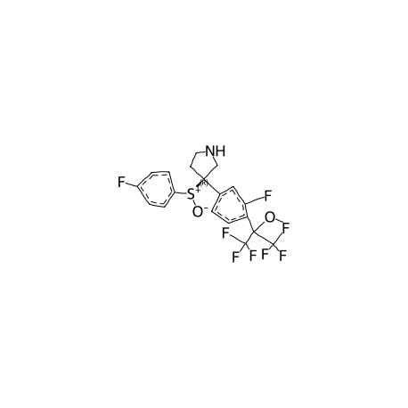 COC(c1ccc([C@]2([S+]([O-])c3ccc(F)cc3)CCNC2)cc1F)(C(F)(F)F)C(F)(F)F